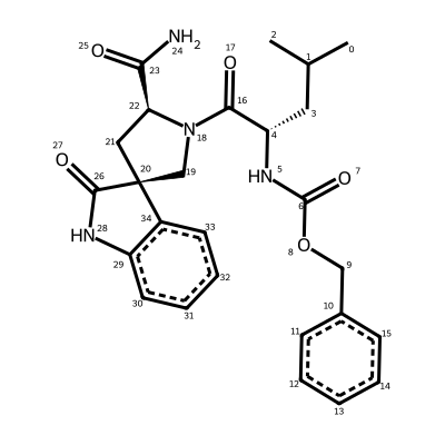 CC(C)C[C@H](NC(=O)OCc1ccccc1)C(=O)N1C[C@]2(C[C@H]1C(N)=O)C(=O)Nc1ccccc12